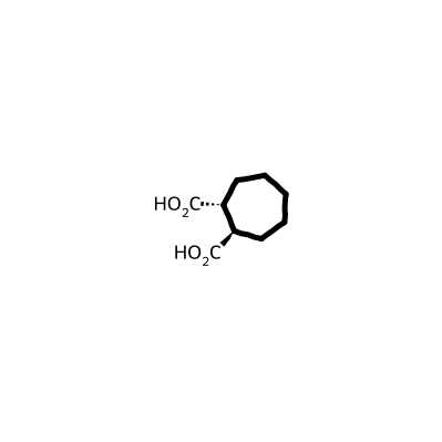 O=C(O)[C@@H]1CCCCC[C@H]1C(=O)O